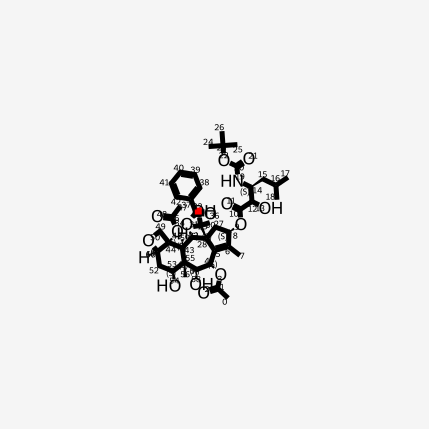 CC(=O)O[C@H]1C2=C(C)[C@@H](OC(=O)C(O)[C@H](CC(C)C)NC(=O)OC(C)(C)C)C[C@@]2(C(C)(C)O)[C@@H](OC(=O)c2ccccc2)[C@@H]2[C@]3(OC(C)=O)CO[C@@H]3C[C@H](O)[C@@]2(C)[C@H]1O